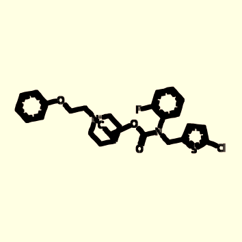 O=C(OC1C[N+]2(CCOc3ccccc3)CCC1CC2)N(Cc1ccc(Cl)s1)c1ccccc1F